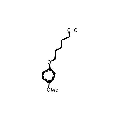 COc1ccc(OCCCCCC=O)cc1